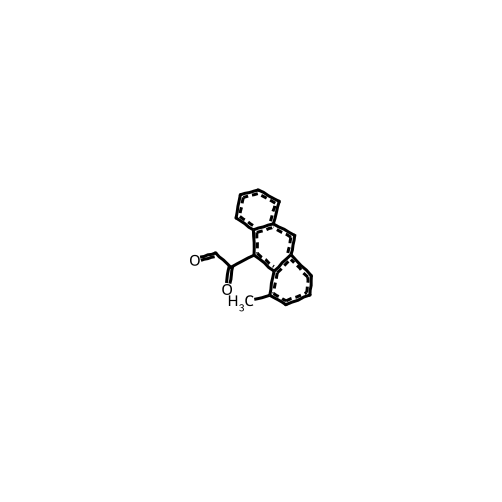 Cc1cccc2cc3ccccc3c(C(=O)C=O)c12